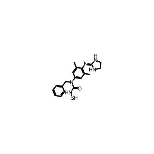 Cc1cc(N(Cc2ccccc2)C(=O)NS)cc(C)c1N=C1NCCN1